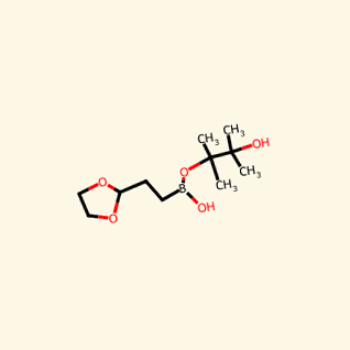 CC(C)(O)C(C)(C)OB(O)CCC1OCCO1